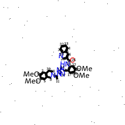 COc1cc2c(cc1OC)CN(C(C)n1nnc(-c3cc(OC)c(OC)cc3NC(=O)c3cnc4ccccc4c3)n1)CC2